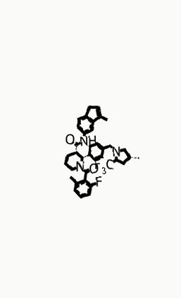 CC1=CCc2ccc(NC(=O)[C@H]3CCCN(C(=O)c4c(C)cccc4F)[C@H]3C3C=CC(CN4C[C@H](C)CC4C(F)(F)F)=CC3)cc21